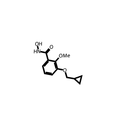 COc1c(OCC2CC2)cccc1C(=O)NO